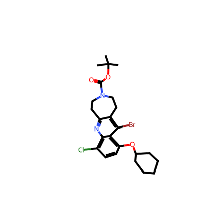 CC(C)(C)OC(=O)N1CCc2nc3c(Cl)ccc(OC4CCCCC4)c3c(Br)c2CC1